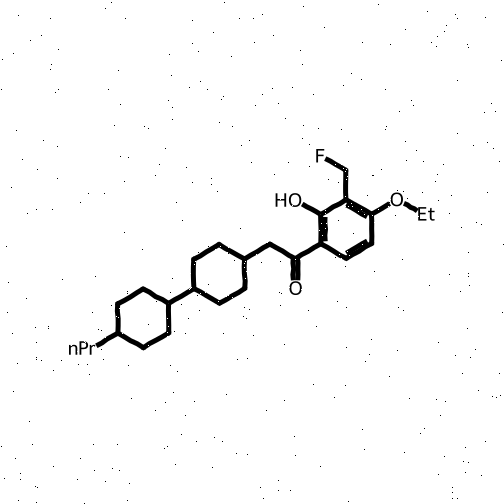 CCCC1CCC(C2CCC(CC(=O)c3ccc(OCC)c(CF)c3O)CC2)CC1